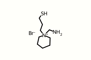 NC[N+]1(CCCS)CCCCC1.[Br-]